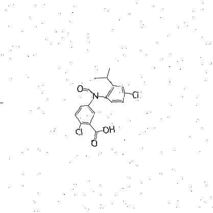 CC(C)c1cc(Cl)ccc1N(C=O)c1ccc(Cl)c(C(=O)O)c1